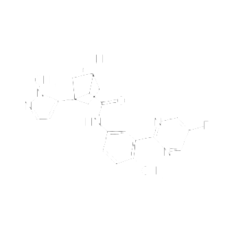 Cc1ccc(NC(=O)C2[C@@H]3CCC2(c2ccnn2C)C3)cc1-c1ncc(F)cn1